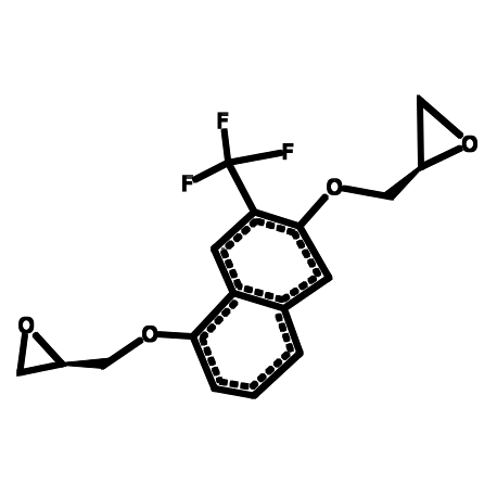 FC(F)(F)c1cc2c(OC[C@H]3CO3)cccc2cc1OC[C@H]1CO1